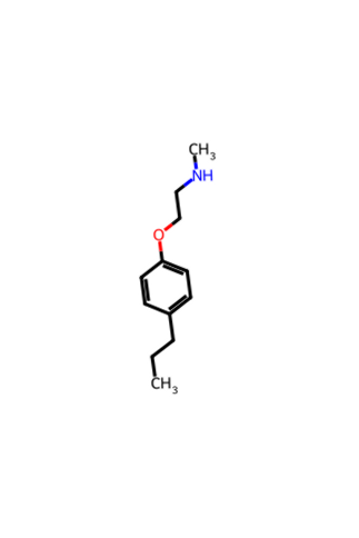 CCCc1ccc(OCCNC)cc1